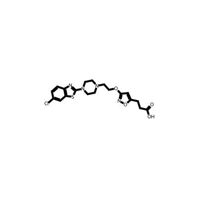 O=C(O)CCc1cc(OCCN2CCN(c3nc4ccc(Cl)cc4s3)CC2)no1